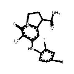 Cc1c(Nc2ccc(I)cc2F)[c]c2n(c1=O)CCC2C(N)=O